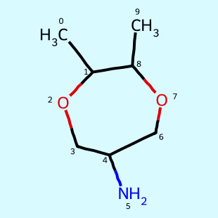 CC1OCC(N)COC1C